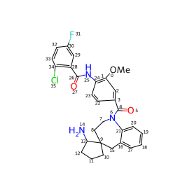 COc1cc(C(=O)N2CCC3(CCCC3N)Cc3ccccc32)ccc1NC(=O)c1cc(F)ccc1Cl